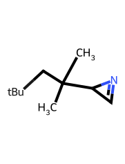 CC(C)(C)CC(C)(C)C1C=N1